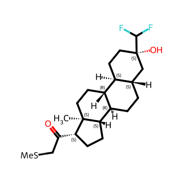 CSCC(=O)[C@H]1CC[C@H]2[C@@H]3CC[C@H]4C[C@](O)(C(F)F)CC[C@@H]4[C@H]3CC[C@]12C